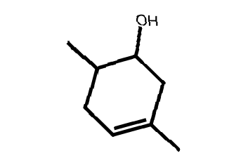 CC1=CCC(C)C(O)C1